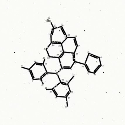 Cc1cc(C)c(B(c2cc(-c3ccccc3)c3ccc4cc(C(C)(C)C)cc5c4c3c2CC5)c2c(C)cc(C)cc2C)c(C)c1